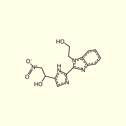 O=[N+]([O-])CC(O)c1cnc(-c2nc3ccccc3n2CCO)[nH]1